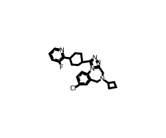 Fc1cccnc1C1CCC(c2nnc3n2-c2ccc(Cl)cc2CN(C2CCC2)C3)CC1